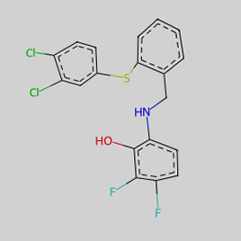 Oc1c(NCc2ccccc2Sc2ccc(Cl)c(Cl)c2)ccc(F)c1F